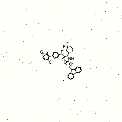 Cc1c(-c2ccc(NC(=O)[C@@H](NC(=O)OCC3c4ccccc4-c4ccccc43)[C@H]3CCCC(F)(F)C3)cc2)c(Cl)cc[n+]1[O-]